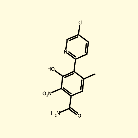 Cc1cc(C(N)=O)c([N+](=O)[O-])c(O)c1-c1ccc(Cl)cn1